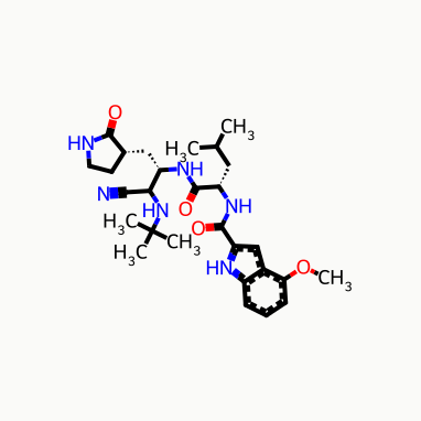 COc1cccc2[nH]c(C(=O)N[C@@H](CC(C)C)C(=O)N[C@@H](C[C@@H]3CCNC3=O)C(C#N)NC(C)(C)C)cc12